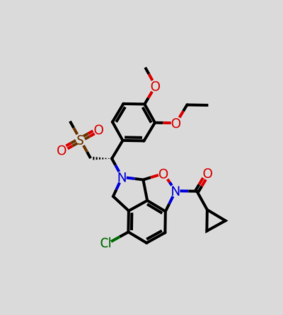 CCOc1cc([C@@H](CS(C)(=O)=O)N2Cc3c(Cl)ccc4c3C2ON4C(=O)C2CC2)ccc1OC